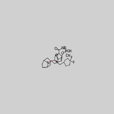 NC(=O)c1cccc(C2CC3CCC(C2)N3CCN(CC2CCC(F)(F)CC2)C(=O)COP(=O)(O)O)c1